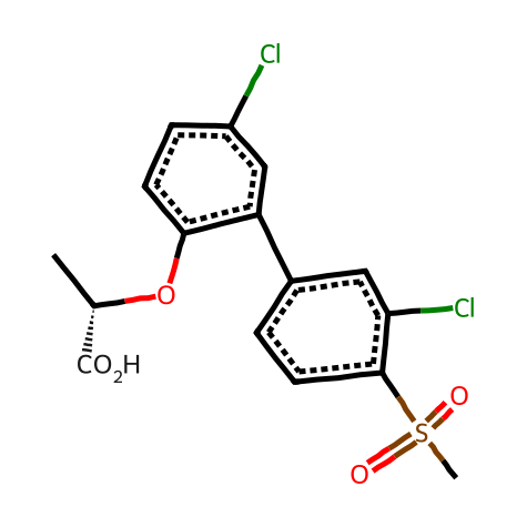 C[C@H](Oc1ccc(Cl)cc1-c1ccc(S(C)(=O)=O)c(Cl)c1)C(=O)O